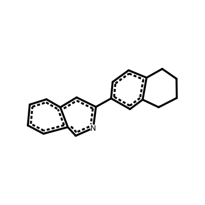 c1ccc2cc(-c3ccc4c(c3)CCCC4)ncc2c1